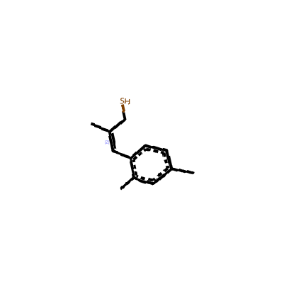 C/C(=C/c1ccc(C)cc1C)CS